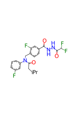 CC(C)CC(=O)N(Cc1ccc(C(=O)NNC(=O)C(F)F)cc1F)c1cccc(F)c1